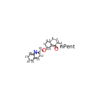 CCCCCC=C1CCc2ccc(OCc3ccc4ccccc4n3)cc2C1=O